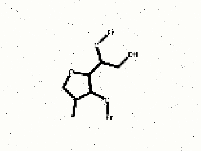 CCOC(CO)C1OCC(C)C1OCC